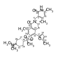 Cc1cc(C)c(CN2CCc3c(c(C)c4c(c3-c3ccc(C)o3)O[C@](C)([C@H]3CC[C@H](N(C)C)CC3)O4)C2=O)c(=O)[nH]1